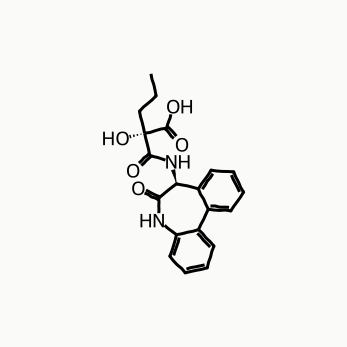 CCC[C@@](O)(C(=O)O)C(=O)N[C@@H]1C(=O)Nc2ccccc2-c2ccccc21